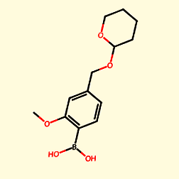 COc1cc(COC2CCCCO2)ccc1B(O)O